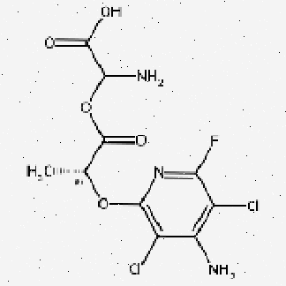 C[C@@H](Oc1nc(F)c(Cl)c(N)c1Cl)C(=O)OC(N)C(=O)O